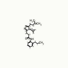 CCCc1ccccc1NC(=O)CCc1nnc(CCC(C)C)n1C1CC1